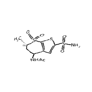 CC(=O)NC1C[C@H](C)S(=O)(=O)c2sc(S(N)(=O)=O)cc21